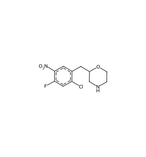 O=[N+]([O-])c1cc(CC2CNCCO2)c(Cl)cc1F